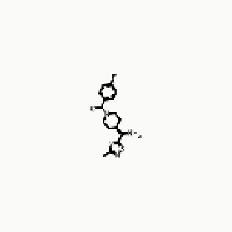 Cc1nsc(C(N)=C2CCN(C(=O)c3ccc(F)cc3)CC2)n1